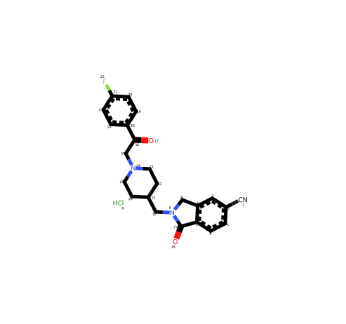 Cl.N#Cc1ccc2c(c1)CN(CC1CCN(CC(=O)c3ccc(F)cc3)CC1)C2=O